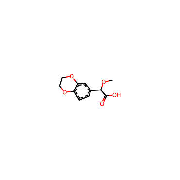 COC(C(=O)O)c1ccc2c(c1)OCCO2